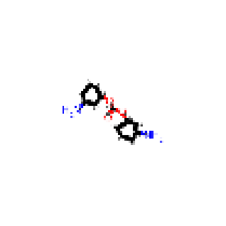 Nc1cccc(OC(=O)Oc2cccc(N)c2)c1